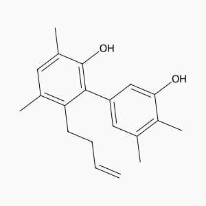 C=CCCc1c(C)cc(C)c(O)c1-c1cc(C)c(C)c(O)c1